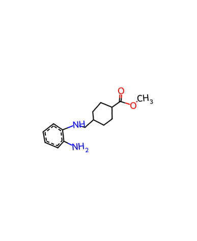 COC(=O)C1CCC(CNc2ccccc2N)CC1